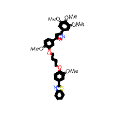 COc1cc(-c2nc3ccccc3s2)ccc1OCCCCOc1cc(-c2cc(-c3cc(OC)c(OC)c(OC)c3)no2)ccc1OC